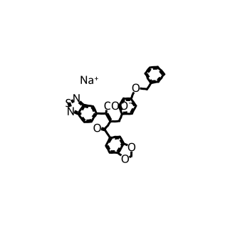 O=C([O-])/C(=C(\Cc1ccc(OCc2ccccc2)cc1)C(=O)c1ccc2c(c1)OCO2)c1ccc2nsnc2c1.[Na+]